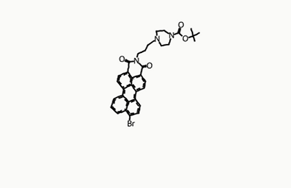 CC(C)(C)OC(=O)N1CCN(CCCN2C(=O)c3ccc4c5cccc6c(Br)ccc(c7ccc(c3c47)C2=O)c65)CC1